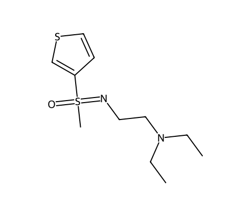 CCN(CC)CCN=S(C)(=O)c1ccsc1